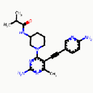 Cc1nc(N)nc(N2CCCC(NC(=O)C(C)C)C2)c1C#Cc1ccc(N)nc1